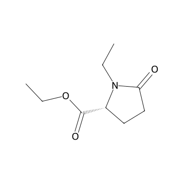 CCOC(=O)[C@H]1CCC(=O)N1CC